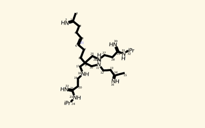 CC(=N)CC/C=C/CCC(CNCCC(C)=N)(CNCCC(=N)NC(C)C)CNCCC(=N)NC(C)C